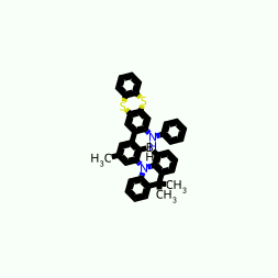 Cc1cc(-c2cc3c(cc2Nc2ccccc2)Sc2ccccc2S3)c2c(c1)N1c3ccccc3C(C)(C)c3cccc(c31)B2